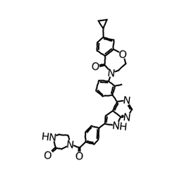 Cc1c(-c2ncnc3[nH]c(-c4ccc(C(=O)N5CCNC(=O)C5)cc4)cc23)cccc1N1CCOc2cc(C3CC3)ccc2C1=O